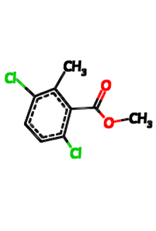 COC(=O)c1c(Cl)ccc(Cl)c1C